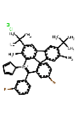 Cc1cc2c(cc1C(C)(C)C)-c1cc(C(C)(C)C)c(C)[c]([Zr+2](=[C](c3cccc(Br)c3)c3cccc(Br)c3)[CH]3C=CC=C3)c1C2.[Cl-].[Cl-]